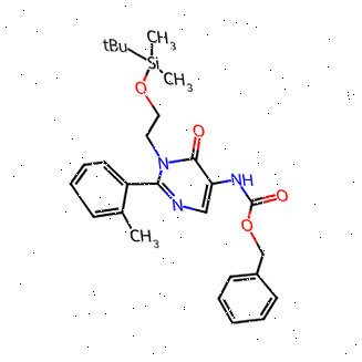 Cc1ccccc1-c1ncc(NC(=O)OCc2ccccc2)c(=O)n1CCO[Si](C)(C)C(C)(C)C